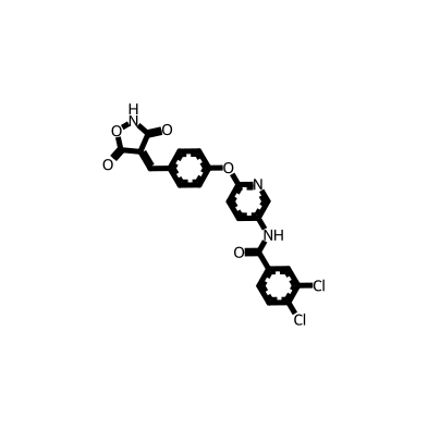 O=C1NOC(=O)C1=Cc1ccc(Oc2ccc(NC(=O)c3ccc(Cl)c(Cl)c3)cn2)cc1